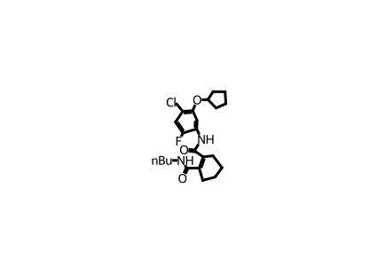 CCCCNC(=O)C1=C(C(=O)Nc2cc(OC3CCCC3)c(Cl)cc2F)CCCC1